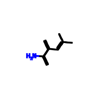 C=C(N)C(=C)C=C(C)C